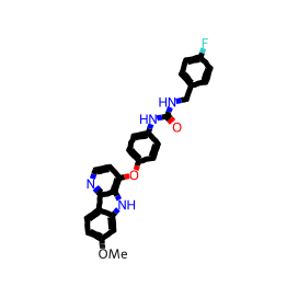 COc1ccc2c(c1)[nH]c1c(Oc3ccc(NC(=O)NCc4ccc(F)cc4)cc3)ccnc12